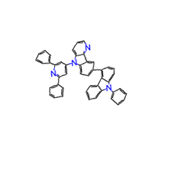 c1ccc(-c2cc(-n3c4ccc(-c5cccc6c5c5ccccc5n6-c5ccccc5)cc4c4ncccc43)cc(-c3ccccc3)n2)cc1